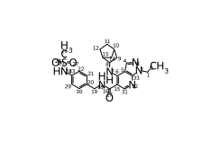 CCn1ncc2c(NC3CC4CCC3C4)c(C(=O)NCc3ccc(NS(C)(=O)=O)cc3)cnc21